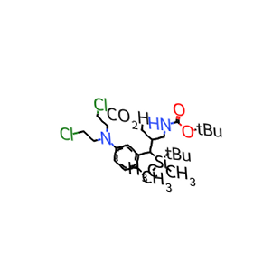 Cc1ccc(N(CCCl)CCCl)cc1C(C(CNC(=O)OC(C)(C)C)CC(=O)O)[Si](C)(C)C(C)(C)C